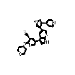 N#Cc1cc(-c2c[nH]c3ncc(-c4c[nH]nc4C4CCNCC4)cc23)cnc1OC1CCOCC1